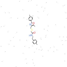 Cc1ccc(CCNC(=O)CSCc2nc(-c3ccc(C)cc3)oc2C)cc1